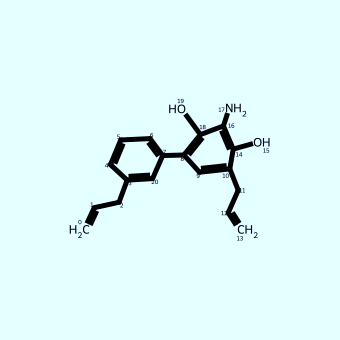 C=CCc1cccc(-c2cc(CC=C)c(O)c(N)c2O)c1